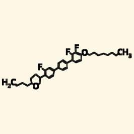 C=CCCC1CCC(c2ccc(-c3ccc(-c4ccc(OCCCCCCCC)c(F)c4F)cc3)cc2F)CO1